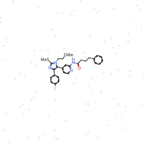 COCCn1c(SC)nc(-c2ccc(F)cc2)c1-c1ccnc(NC(=O)CCCc2ccccc2)c1